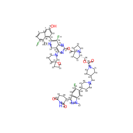 CCc1c(F)ccc2cc(O)cc(-c3ncc4c(N5CCC[C@@]6(CCO6)C5)nc(OC[C@@]56CCCN5[C@H](COC(=O)N5CCC(CN7CCC(c8cc9c(cc8F)c(C8CCC(=O)NC8=O)nn9C)CC7)CC5)CC6)nc4c3F)c12